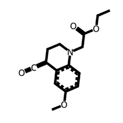 CCOC(=O)CN1CCC(=C=O)c2cc(OC)ccc21